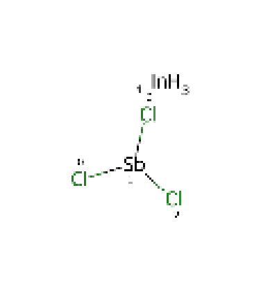 [Cl][Sb]([Cl])[Cl].[InH3]